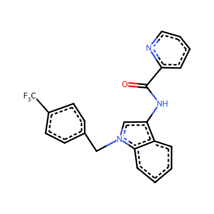 O=C(Nc1cn(Cc2ccc(C(F)(F)F)cc2)c2ccccc12)c1ccccn1